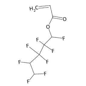 C=CC(=O)OC(F)C(F)(F)C(F)(F)C(F)C(F)F